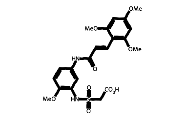 COc1cc(OC)c(C=CC(=O)Nc2ccc(OC)c(NS(=O)(=O)CC(=O)O)c2)c(OC)c1